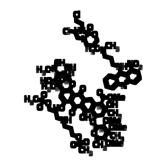 CN(C)CCCNc1c2ccccc2nc2cccc([N+](=O)[O-])c12.COC(=O)[C@@H]1c2cc3c(c(O)c2[C@@H](O[C@@H]2O[C@@H](C)[C@H](OC)[C@@](C)(OC)[C@H]2OC)C[C@]1(C)O)C(=O)c1c(O)cc2c(c1C3=O)O[C@@H]1O[C@@]2(C)[C@H](O)[C@@H](N(C)C)[C@@H]1O.CS(=O)(=O)OCCCNCCCOS(C)(=O)=O.O=P1(NCCCl)OCCCN1CCCl